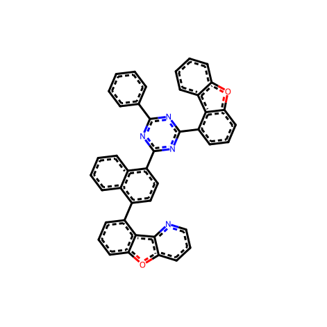 c1ccc(-c2nc(-c3ccc(-c4cccc5oc6cccnc6c45)c4ccccc34)nc(-c3cccc4oc5ccccc5c34)n2)cc1